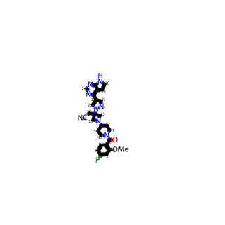 COc1cc(F)ccc1C(=O)N1CCC(N2CC(CC#N)(n3cc(-c4ncnc5[nH]ccc45)cn3)C2)CC1